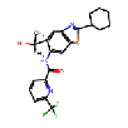 CC(C)(O)c1cc2nc(C3CCCCC3)sc2cc1NC(=O)c1cccc(C(F)(F)F)n1